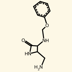 NCC1NC(=O)C1NCOc1ccccc1